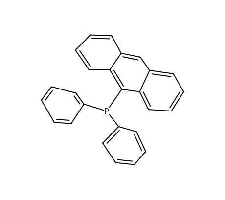 c1ccc(P(c2ccccc2)c2c3ccccc3cc3ccccc23)cc1